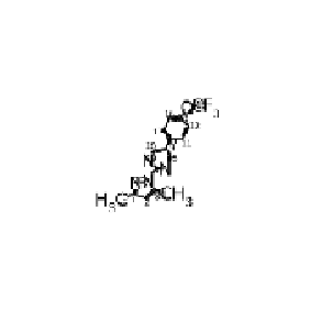 Cc1cc(C)n(-c2ncc(-c3ccc(OC(F)(F)F)cc3)cn2)n1